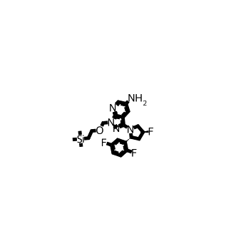 C[Si](C)(C)CCOCn1nc(N2C[C@@H](F)C[C@@H]2c2cc(F)ccc2F)c2cc(N)cnc21